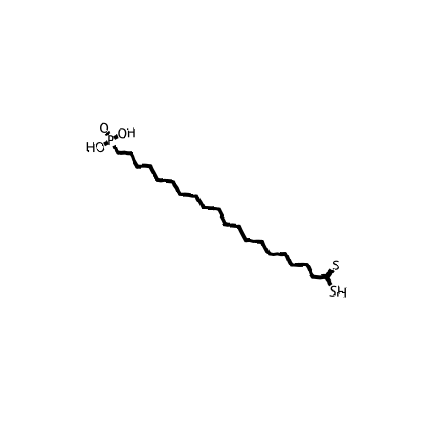 O=P(O)(O)CCCCCCCCCCCCCCCCCCCC(=S)S